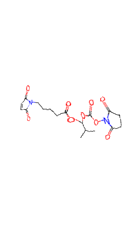 CC(C)C(OC(=O)CCCCN1C(=O)C=CC1=O)OC(=O)ON1C(=O)CCC1=O